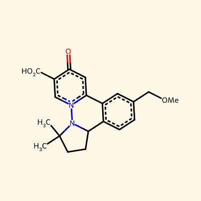 COCc1ccc2c(c1)-c1cc(=O)c(C(=O)O)cn1N1C2CCC1(C)C